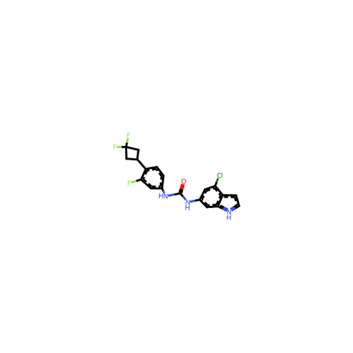 O=C(Nc1ccc(C2CC(F)(F)C2)c(F)c1)Nc1cc(Cl)c2cc[nH]c2c1